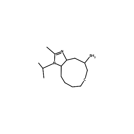 BC1CCCCCCC2C(C1)N=C(C)N2C(C)C